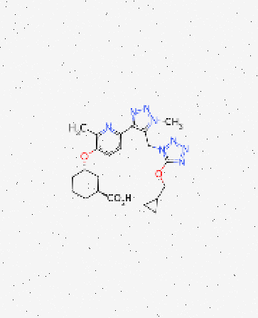 Cc1nc(-c2nnn(C)c2Cn2nnnc2OCC2CC2)ccc1O[C@H]1CCC[C@H](C(=O)O)C1